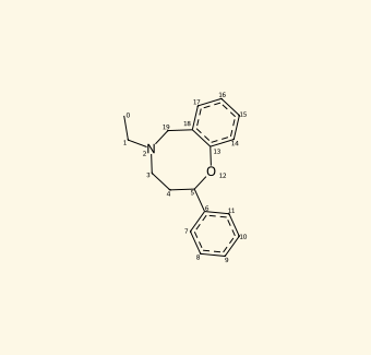 CCN1CCC(c2ccccc2)Oc2ccccc2C1